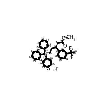 COC(=O)C[C@H](CC[P+](c1ccccc1)(c1ccccc1)c1ccccc1)c1cccc(C(F)(F)F)c1.[I-]